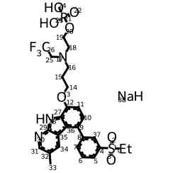 CCS(=O)(=O)c1cccc(-c2ccc(OCCCN(CCOP(=O)(O)O)CC(F)(F)F)c3[nH]c4ncc(C)cc4c23)c1.[NaH]